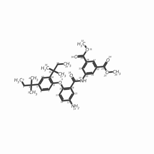 CCC(C)(C)c1ccc(Oc2ccc(N)cc2C(=O)Nc2cc(C(=O)OC)cc(C(=O)OC)c2)c(C(C)(C)CC)c1